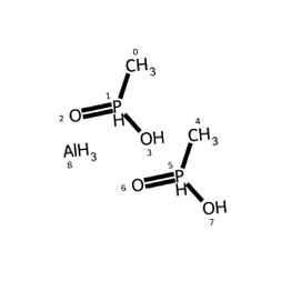 C[PH](=O)O.C[PH](=O)O.[AlH3]